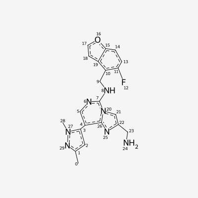 Cc1cc(-c2cnc(NCc3c(F)ccc4occc34)n3cc(CN)nc23)n(C)n1